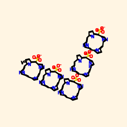 O=S(=O)([O-])c1c2nc(cc3ccc(cc4nc(cc5ccc1[nH]5)C=C4)[nH]3)C=C2.O=S(=O)([O-])c1c2nc(cc3ccc(cc4nc(cc5ccc1[nH]5)C=C4)[nH]3)C=C2.O=S(=O)([O-])c1c2nc(cc3ccc(cc4nc(cc5ccc1[nH]5)C=C4)[nH]3)C=C2.O=S(=O)([O-])c1c2nc(cc3ccc(cc4nc(cc5ccc1[nH]5)C=C4)[nH]3)C=C2.O=S(=O)([O-])c1c2nc(cc3ccc(cc4nc(cc5ccc1[nH]5)C=C4)[nH]3)C=C2.[V+5]